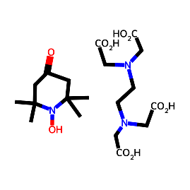 CC1(C)CC(=O)CC(C)(C)N1O.O=C(O)CN(CCN(CC(=O)O)CC(=O)O)CC(=O)O